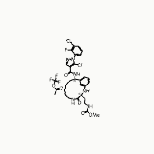 CC(=O)OC(F)(F)F.COC(=O)NCC[C@@H]1Nc2cccc(c2)[C@@H](NC(=O)c2cnn(-c3cccc(Cl)c3F)c2Cl)CCCCCNC1=O